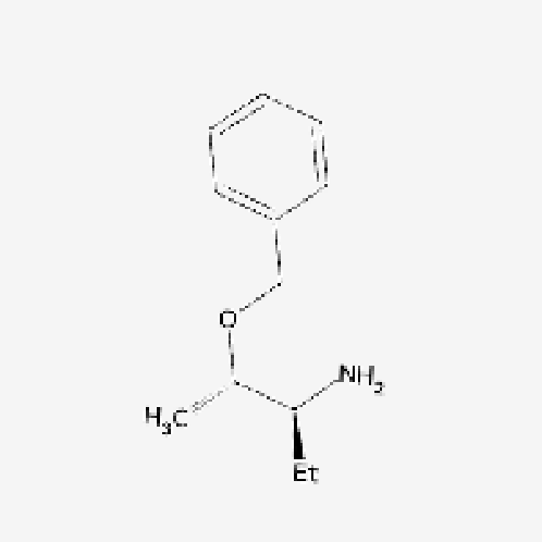 CC[C@H](N)[C@H](C)OCc1ccccc1